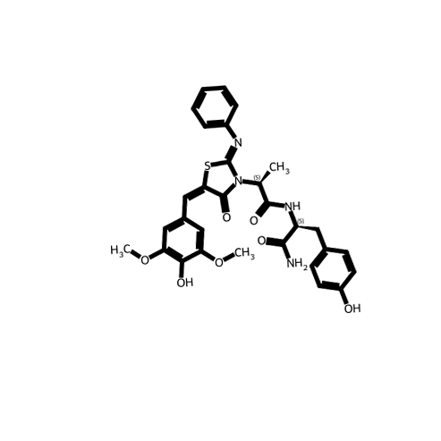 COc1cc(C=C2SC(=Nc3ccccc3)N([C@@H](C)C(=O)N[C@@H](Cc3ccc(O)cc3)C(N)=O)C2=O)cc(OC)c1O